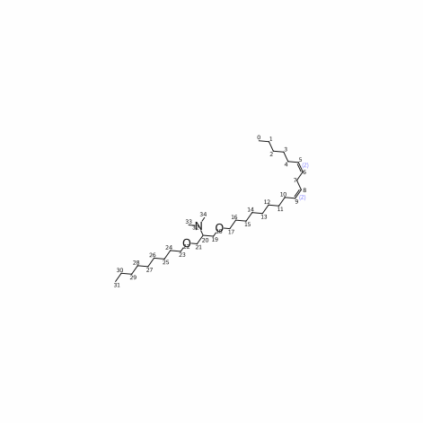 CCCCC/C=C\C/C=C\CCCCCCCCOCC(COCCCCCCCCC)N(C)C